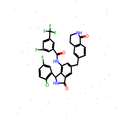 O=C(Nc1cc(Cc2ccc3c(c2)CCNC3=O)cc2c1C(c1cc(F)ccc1Cl)NC2=O)c1cc(F)cc(C(F)(F)F)c1